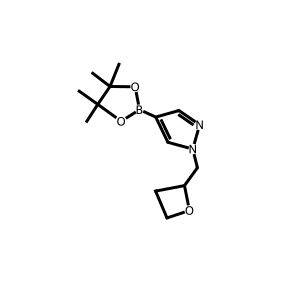 CC1(C)OB(c2cnn(CC3CCO3)c2)OC1(C)C